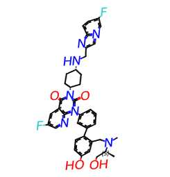 C[C@@H](CO)N(C)Cc1cc(O)ccc1-c1cccc(-n2c(=O)n([C@H]3CC[C@@H](NCc4cn5cc(F)ccc5n4)CC3)c(=O)c3cc(F)cnc32)c1